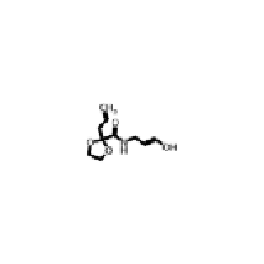 C=CCC1(C(=O)NCC=CO)OCCO1